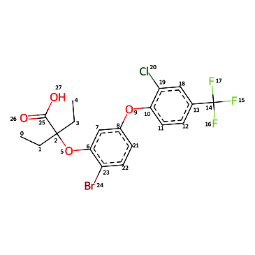 CCC(CC)(Oc1cc(Oc2ccc(C(F)(F)F)cc2Cl)ccc1Br)C(=O)O